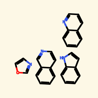 c1ccc2[nH]ccc2c1.c1ccc2cnccc2c1.c1ccc2ncccc2c1.c1cocn1